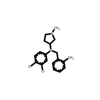 Cc1ccccc1CN(c1ccc(Cl)c(Cl)c1)C1CCN(C)C1